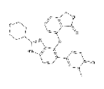 Cn1cc(-c2ccc3[nH]c(C4CCOCC4)nc3c2Oc2cccc3c2C(=O)OC3)ccc1=O